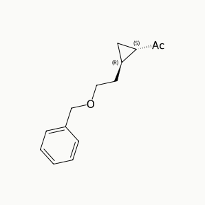 CC(=O)[C@H]1C[C@@H]1CCOCc1ccccc1